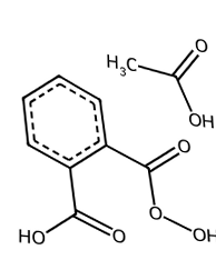 CC(=O)O.O=C(O)c1ccccc1C(=O)OO